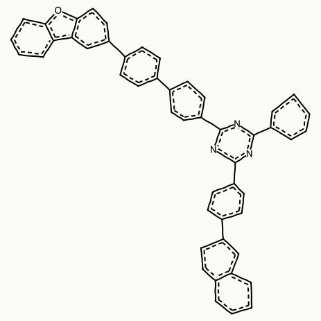 c1ccc(-c2nc(-c3ccc(-c4ccc(-c5ccc6oc7ccccc7c6c5)cc4)cc3)nc(-c3ccc(-c4ccc5ccccc5c4)cc3)n2)cc1